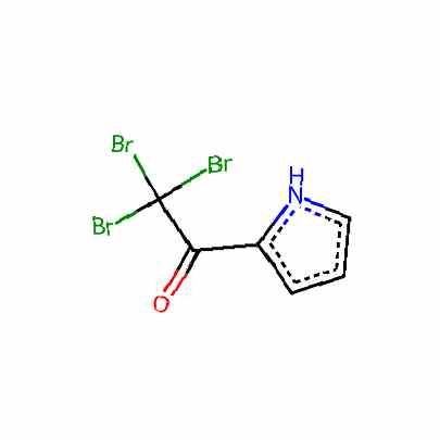 O=C(c1ccc[nH]1)C(Br)(Br)Br